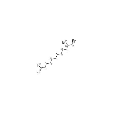 FC(F)=CCCCCCCCCC(Br)CBr